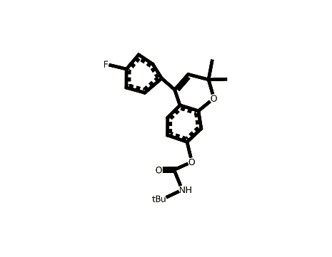 CC(C)(C)NC(=O)Oc1ccc2c(c1)OC(C)(C)C=C2c1ccc(F)cc1